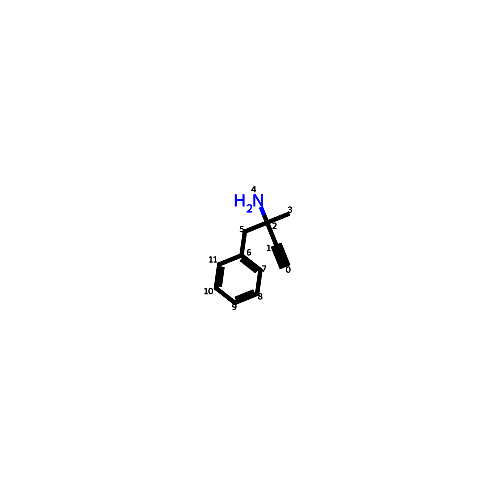 C#CC(C)(N)Cc1ccccc1